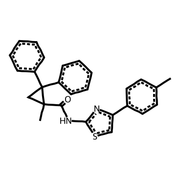 Cc1ccc(-c2csc(NC(=O)C3(C)CC3(c3ccccc3)c3ccccc3)n2)cc1